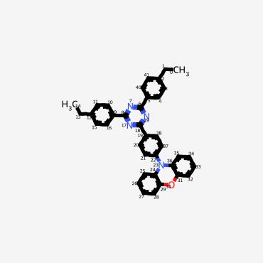 CCc1ccc(-c2nc(-c3ccc(CC)cc3)nc(-c3ccc(N4c5ccccc5Oc5ccccc54)cc3)n2)cc1